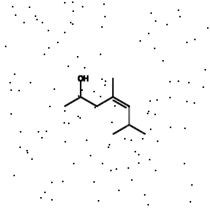 CC(=CC(C)C)CC(C)O